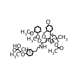 COc1cccc([C@H]2O[C@H](CC(=O)NCCc3ccc(OC(C)(C)C(=O)O)cc3)C(=O)N(CC(C)(C)COC(C)=O)c3ccc(Cl)cc32)c1OC